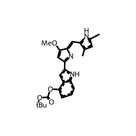 COC1=CC(c2cc3c(OC(=O)OC(C)(C)C)cccc3[nH]2)=N/C1=C\c1[nH]c(C)cc1C